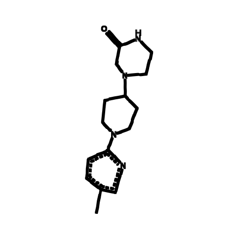 Cc1ccc(N2CCC(N3CCNC(=O)C3)CC2)nc1